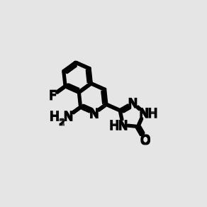 Nc1nc(-c2n[nH]c(=O)[nH]2)cc2cccc(F)c12